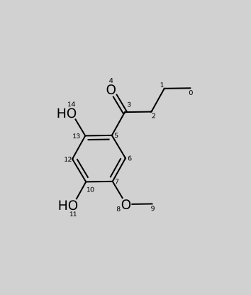 CCCC(=O)c1cc(OC)c(O)cc1O